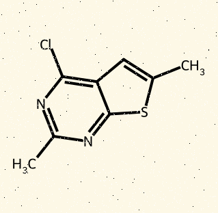 Cc1nc(Cl)c2cc(C)sc2n1